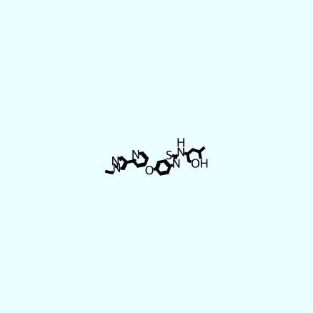 CCn1cc(-c2cc(Oc3ccc4nc(NC(CO)CC(C)C)sc4c3)ccn2)cn1